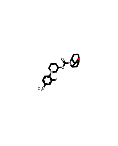 O=C(OC1CCCN(c2ccc([N+](=O)[O-])cc2F)C1)N1C2CC3CC1CC(C2)O3